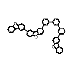 C1=C(c2ccc3oc4ccccc4c3c2)C=C(c2cccc(-c3cccc(-c4ccc5oc6ccc(-c7ccc8oc9ccccc9c8c7)cc6c5c4)c3)c2)CC1